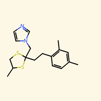 Cc1ccc(CCC2(Cn3ccnc3)SCC(C)S2)c(C)c1